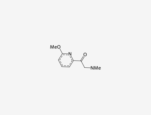 CNCC(=O)c1cccc(OC)n1